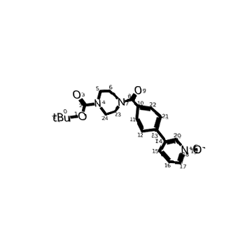 CC(C)(C)OC(=O)N1CCN(C(=O)c2ccc(-c3ccc[n+]([O-])c3)cc2)CC1